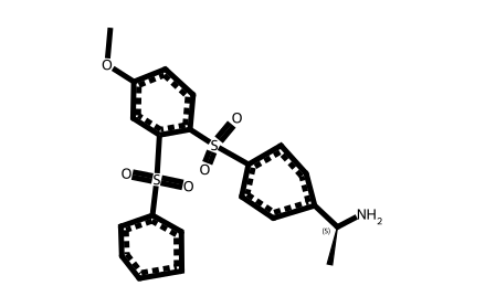 COc1ccc(S(=O)(=O)c2ccc([C@H](C)N)cc2)c(S(=O)(=O)c2ccccc2)c1